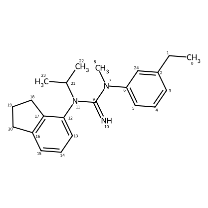 CCc1cccc(N(C)C(=N)N(c2cccc3c2CCC3)C(C)C)c1